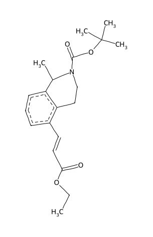 CCOC(=O)/C=C/c1cccc2c1CCN(C(=O)OC(C)(C)C)C2C